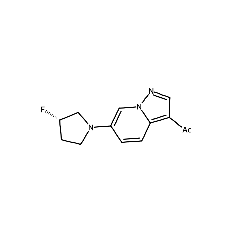 CC(=O)c1cnn2cc(N3CC[C@H](F)C3)ccc12